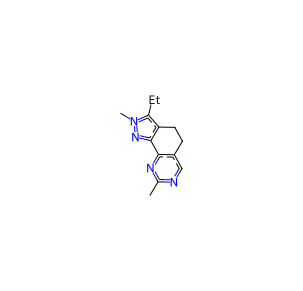 CCc1c2c(nn1C)-c1nc(C)ncc1CC2